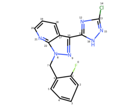 Fc1ccccc1Cn1nc(-c2nc(Cl)n[nH]2)c2cccnc21